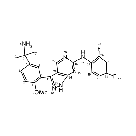 COc1ccc(C(C)(C)N)cc1-c1n[nH]c2nc(Nc3ccc(F)cc3F)ncc12